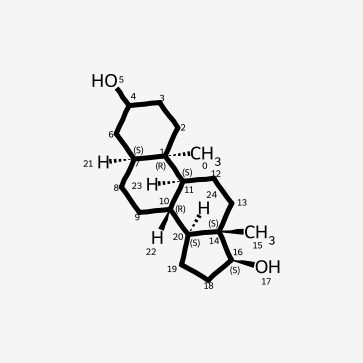 C[C@@]12CCC(O)C[C@@H]1CC[C@@H]1[C@@H]2CC[C@]2(C)[C@@H](O)CC[C@@H]12